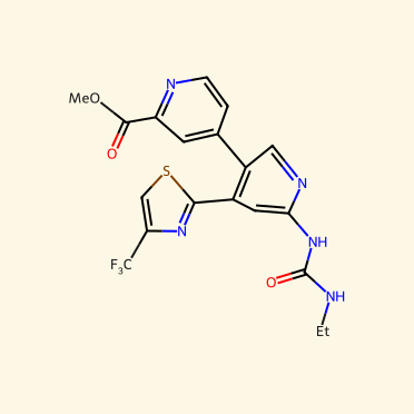 CCNC(=O)Nc1cc(-c2nc(C(F)(F)F)cs2)c(-c2ccnc(C(=O)OC)c2)cn1